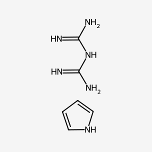 N=C(N)NC(=N)N.c1cc[nH]c1